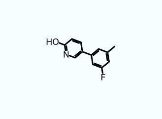 Cc1cc(F)cc(-c2ccc(O)nc2)c1